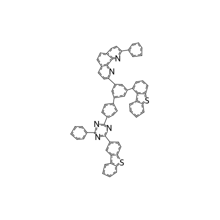 c1ccc(-c2ccc3ccc4ccc(-c5cc(-c6ccc(-c7nc(-c8ccccc8)nc(-c8ccc9sc%10ccccc%10c9c8)n7)cc6)cc(-c6cccc7sc8ccccc8c67)c5)nc4c3n2)cc1